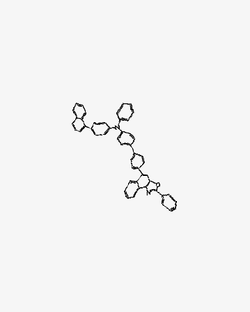 c1ccc(-c2nc3c(cc(-c4ccc(-c5ccc(N(c6ccccc6)c6ccc(-c7cccc8ccccc78)cc6)cc5)cc4)c4ccccc43)o2)cc1